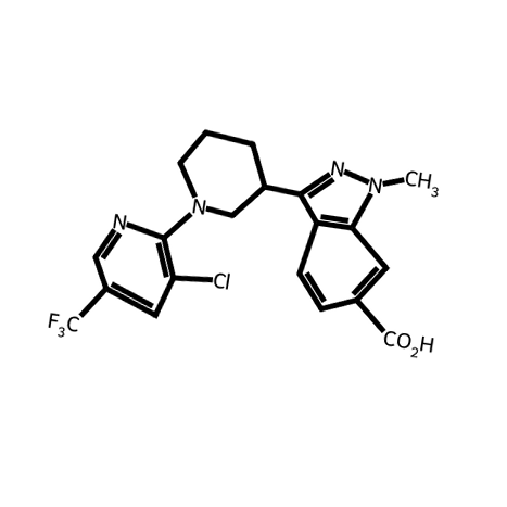 Cn1nc(C2CCCN(c3ncc(C(F)(F)F)cc3Cl)C2)c2ccc(C(=O)O)cc21